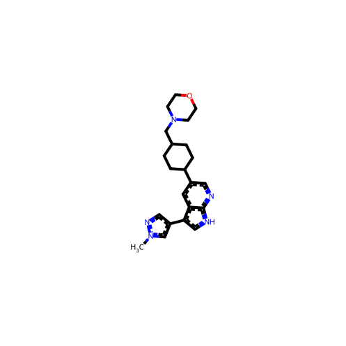 Cn1cc(-c2c[nH]c3ncc(C4CCC(CN5CCOCC5)CC4)cc23)cn1